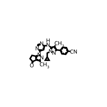 Cc1nn(-c2cc(Nc3c(C)c(-c4ccc(C#N)cc4)nn3CC3CC3)ncn2)c2c1C(=O)CC2